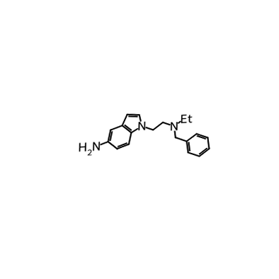 CCN(CCn1ccc2cc(N)ccc21)Cc1ccccc1